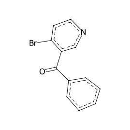 O=C(c1ccccc1)c1cnccc1Br